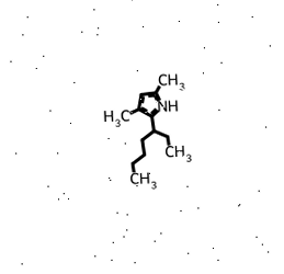 CCCCC(CC)c1[nH]c(C)cc1C